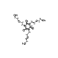 O=c1n(CCOCCO)c(=O)n(CCOCCO)c(=O)n1CCOCCO